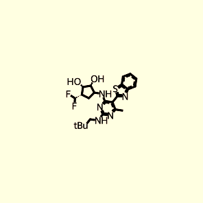 Cc1nc(NCC(C)(C)C)nc(NC2C[C@H](C(F)F)[C@@H](O)[C@H]2O)c1-c1nc2ccccc2s1